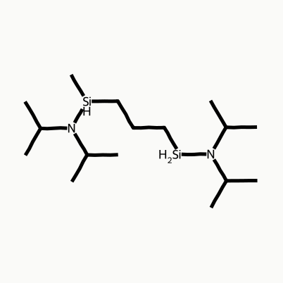 CC(C)N([SiH2]CCC[SiH](C)N(C(C)C)C(C)C)C(C)C